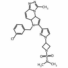 Cc1nnc2n1C1C=C(c3ccn(C4CN(S(=O)(=O)N(C)C)C4)n3)N(Cc3cccc(Cl)c3)C1C=C2